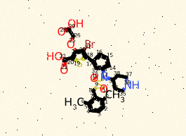 Cc1cccc(C)c1CS(=O)(=O)N(c1cccc(-c2sc(C(=O)O)c(OCC(=O)O)c2Br)c1)C1CCNCC1